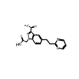 CC(=O)c1nn(CC(=O)O)c2ccc(CCc3ncccn3)cc12